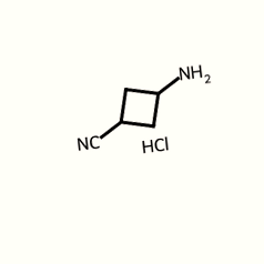 Cl.N#CC1CC(N)C1